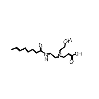 CCCCCCCC(=O)NCCN(CCO)CCC(=O)O